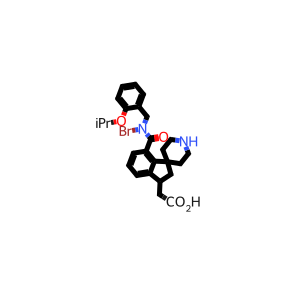 CC(C)Oc1ccccc1CN(Br)C(=O)c1cccc2c1C1(CCNCC1)CC2CC(=O)O